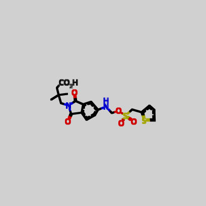 CC(C)(CC(=O)O)CN1C(=O)c2ccc(NCOS(=O)(=O)Cc3cccs3)cc2C1=O